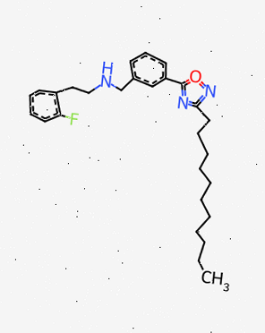 CCCCCCCCCCCc1noc(-c2cccc(CNCCc3ccccc3F)c2)n1